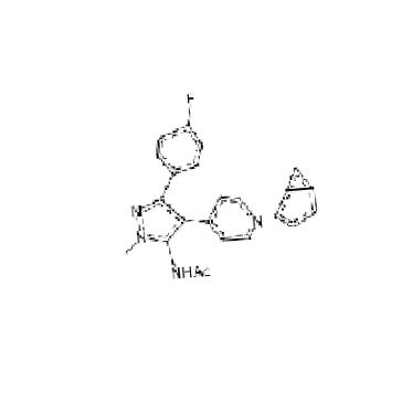 CC(=O)Nc1c(-c2ccncc2)c(-c2ccc(F)cc2)nn1C.c1cc2cc-2c1